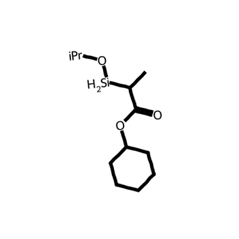 CC(C)O[SiH2]C(C)C(=O)OC1CCCCC1